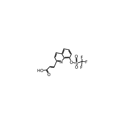 O=C(O)C=Cc1ccc2cccc(OS(=O)(=O)C(F)(F)F)c2n1